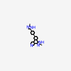 Cc1ncc(-c2ccc(-c3ccc4c(c3)c3ccncc3c3nc(C)[nH]c43)cc2)[nH]1